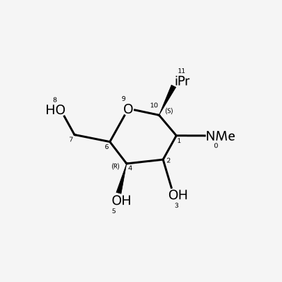 CNC1C(O)[C@@H](O)C(CO)O[C@H]1C(C)C